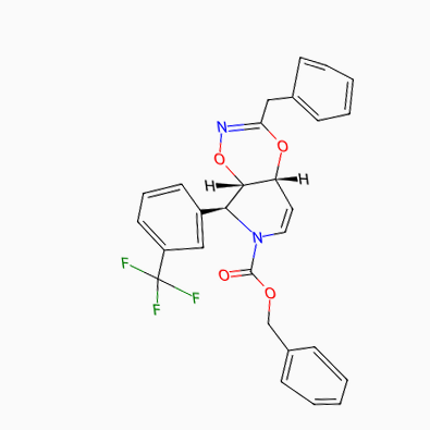 O=C(OCc1ccccc1)N1C=C[C@H]2OC(Cc3ccccc3)=NO[C@H]2[C@@H]1c1cccc(C(F)(F)F)c1